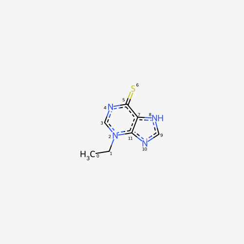 CCn1cnc(=S)c2[nH]cnc21